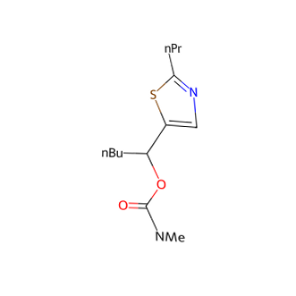 CCCCC(OC(=O)NC)c1cnc(CCC)s1